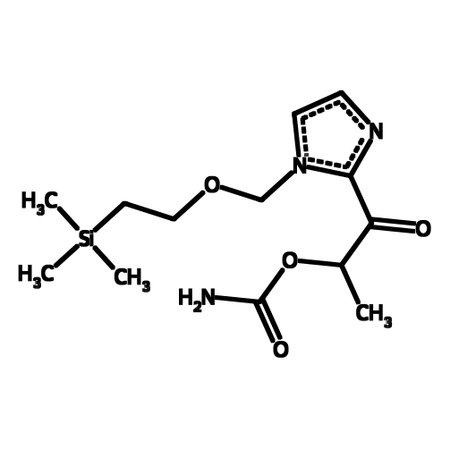 CC(OC(N)=O)C(=O)c1nccn1COCC[Si](C)(C)C